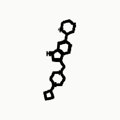 c1cc2c(CN3CCN(C4CCC4)CC3)c[nH]c2cc1C1CSCC[N]1